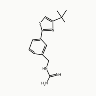 CC(C)(C)c1csc(-c2cccc(CNC(=N)N)c2)n1